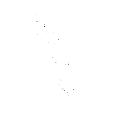 CCCN(Cc1ccc(OC)c(OC)c1)CC(O)COc1ccc2[nH]c(=O)ccc2c1